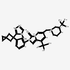 Cn1cnnc1C1(c2cccc(-n3cc4c(C(F)(F)F)cc(CN5CCC[C@H](C(F)(F)F)C5)cn4c3=O)c2)CC2(CC2)C1